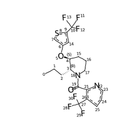 CCC[C@@H]1[C@@H](Oc2csc(C(F)(F)F)c2)CCCN1C(=O)c1ncccc1C(F)(F)F